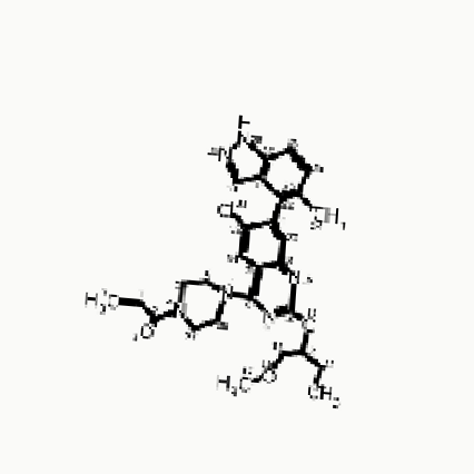 C=CC(=O)N1CCN(c2nc(OC(CC)COC)nc3cc(-c4c(C)ccc5[nH]ncc45)c(Cl)cc23)CC1